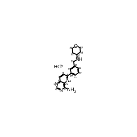 Cl.Nc1ncnc2ccc(-c3cccc(CNC4CCOCC4)c3)nc12